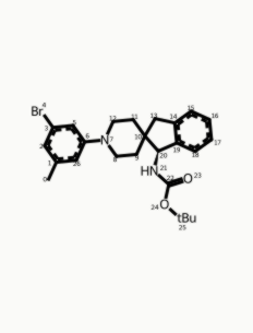 Cc1cc(Br)cc(N2CCC3(CC2)Cc2ccccc2[C@H]3NC(=O)OC(C)(C)C)c1